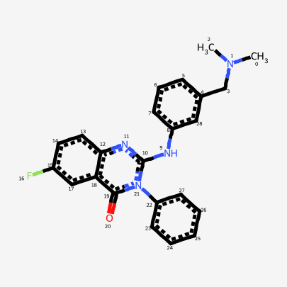 CN(C)Cc1cccc(Nc2nc3ccc(F)cc3c(=O)n2-c2ccccc2)c1